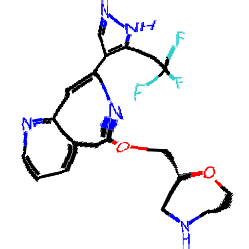 FC(F)(F)c1[nH]ncc1-c1cc2ncccc2c(OC[C@@H]2CNCCO2)n1